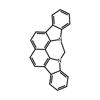 c1ccc2c(c1)c1ccc3ccc4c5ccccc5n5c4c3c1n2C5